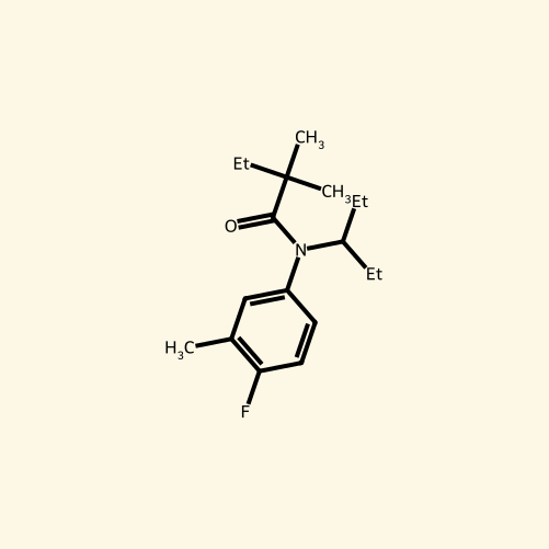 CCC(CC)N(C(=O)C(C)(C)CC)c1ccc(F)c(C)c1